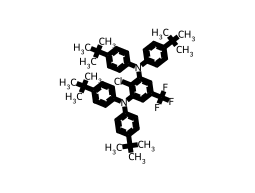 CC(C)(C)c1ccc(N(c2ccc(C(C)(C)C)cc2)c2cc(C(F)(F)F)cc(N(c3ccc(C(C)(C)C)cc3)c3ccc(C(C)(C)C)cc3)c2Cl)cc1